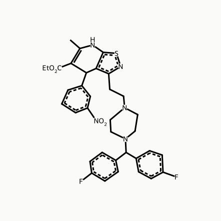 CCOC(=O)C1=C(C)Nc2snc(CCN3CCN(C(c4ccc(F)cc4)c4ccc(F)cc4)CC3)c2C1c1cccc([N+](=O)[O-])c1